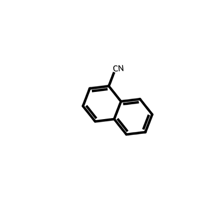 N#Cc1cccc2ccccc12